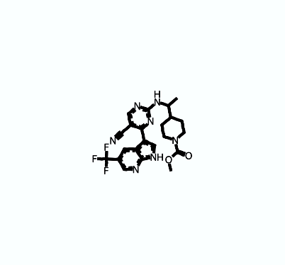 COC(=O)N1CCC(C(C)Nc2ncc(C#N)c(-c3c[nH]c4ncc(C(F)(F)F)cc34)n2)CC1